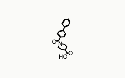 O=C(O)C1CCN(C(=O)c2ccc(-c3ccccc3)cc2)CC1